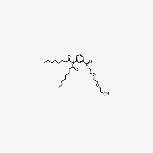 CCCCCCCC(=O)N(C(=O)CCCCCCC)c1cccc(C(=O)OCCOCCOCCO)c1